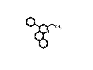 CCc1cc(-c2ccccc2)c2ccc3ccccc3c2n1